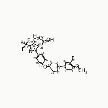 COc1ccc(N2CCC(Oc3ccc(N4N=C(C(F)(F)F)[C@@H](C)[C@@H]4CC(=O)O)cc3)CC2)cc1F